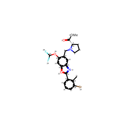 COC(=O)[C@@H]1CCCN1Cc1cc2nc(-c3cccc(Br)c3C)oc2cc1OC(F)F